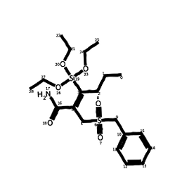 CCCC(=C(CS(=O)(=O)Cc1ccccc1)C(N)=O)[Si](OCC)(OCC)OCC